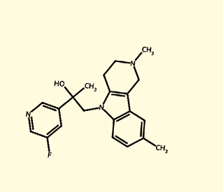 Cc1ccc2c(c1)c1c(n2CC(C)(O)c2cncc(F)c2)CCN(C)C1